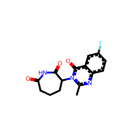 Cc1nc2ccc(F)cc2c(=O)n1C1CCCC(=O)NC1=O